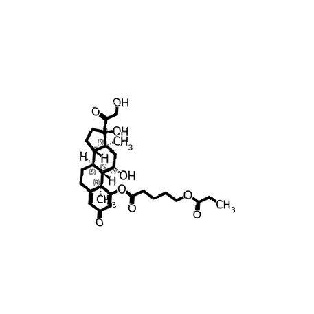 CCC(=O)OCCCCC(=O)OC1=CC(=O)C=C2CC[C@@H]3[C@H]([C@@H](O)C[C@@]4(C)[C@H]3CC[C@]4(O)C(=O)CO)[C@]21C